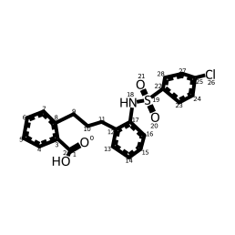 O=C(O)c1ccccc1CCCc1ccccc1NS(=O)(=O)c1ccc(Cl)cc1